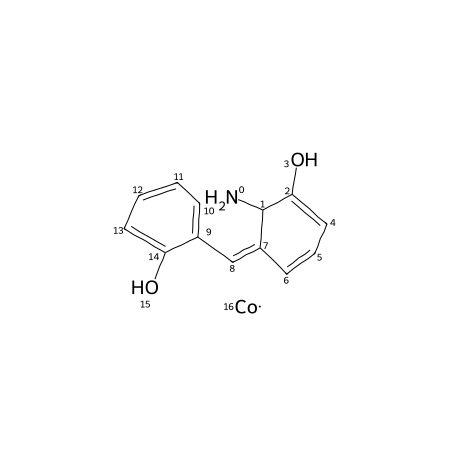 NC1C(O)=CC=CC1=Cc1ccccc1O.[Co]